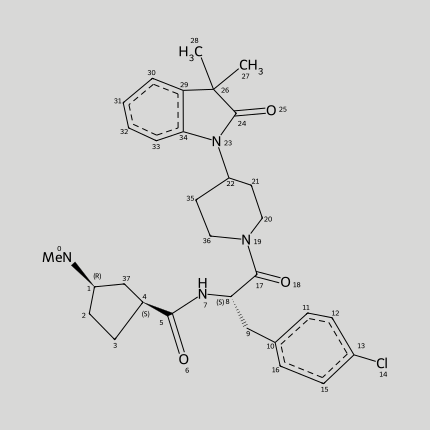 CN[C@@H]1CC[C@H](C(=O)N[C@@H](Cc2ccc(Cl)cc2)C(=O)N2CCC(N3C(=O)C(C)(C)c4ccccc43)CC2)C1